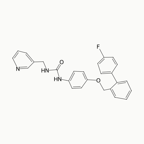 O=C(NCc1cccnc1)Nc1ccc(OCc2ccccc2-c2ccc(F)cc2)cc1